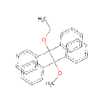 CCOC(c1ccccc1)(c1ccccc1)C(OC)(c1ccccc1)c1ccccc1